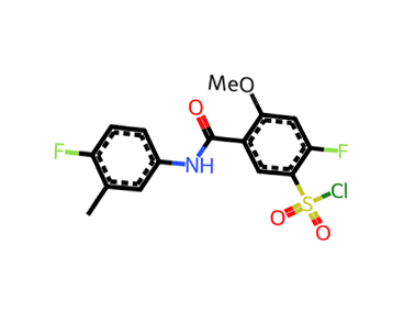 COc1cc(F)c(S(=O)(=O)Cl)cc1C(=O)Nc1ccc(F)c(C)c1